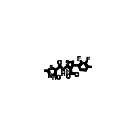 Cc1nc(O)c(C(=O)Nc2scc(-c3ccc(C)c(F)c3F)c2C(=O)O)s1